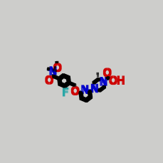 CON(C)C(=O)c1ccc(COc2cccc(N3CCN(C(=O)O)[C@@H](C)C3)n2)c(F)c1